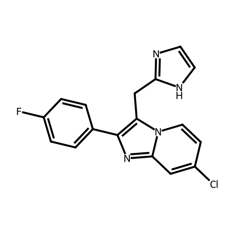 Fc1ccc(-c2nc3cc(Cl)ccn3c2Cc2ncc[nH]2)cc1